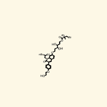 CCCCC(CC)CN1C(=O)C(c2ccc(OCCO)cc2)=CC2C=CC(OCCC(O)C(O)CCOC(=O)C(C)(CC(C)C)C(C)C)=CC21